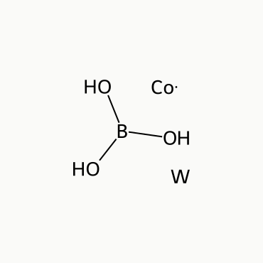 OB(O)O.[Co].[W]